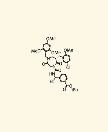 CC[C@@H](NC(=O)N1CC(=O)N(Cc2c(OC)cc(OC)cc2OC)C[C@H](Cc2cc(Cl)ccc2OC)C1=O)c1cccc(C(=O)OC(C)(C)C)c1